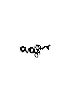 CC(C)CCN1CCn2c1nc(=O)c1c2CCN(Cc2ccccc2)C1